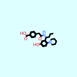 CCCC(NC(=O)Cc1ccc(C(=O)O)cc1)c1cc(O)ccc1N1CCCCC1